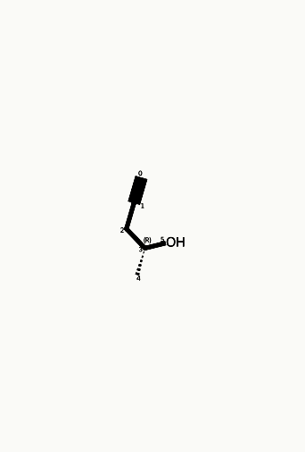 C#CC[C@@H](C)O